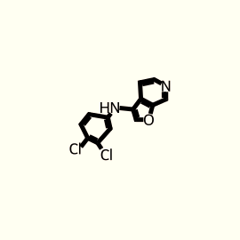 Clc1ccc(Nc2coc3cnccc23)cc1Cl